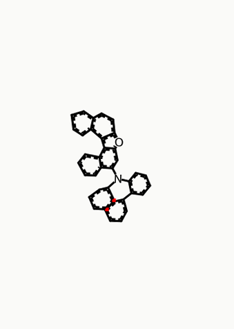 c1ccc(-c2ccccc2N(c2ccccc2)c2cc3oc4ccc5ccccc5c4c3c3ccccc23)cc1